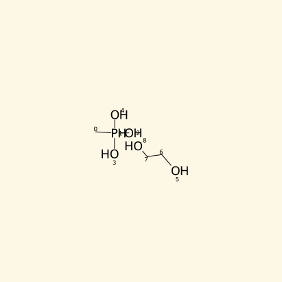 C[PH](O)(O)O.OCCO